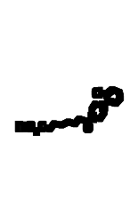 CCOC(=O)CCCCCCC(=O)N1CCN(c2ccccc2Cl)CC1